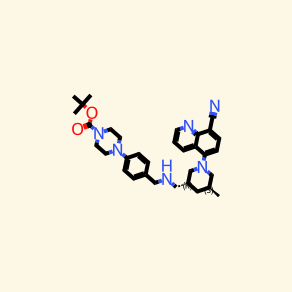 C[C@H]1C[C@H](CNCc2ccc(N3CCN(C(=O)OC(C)(C)C)CC3)cc2)CN(c2ccc(C#N)c3ncccc23)C1